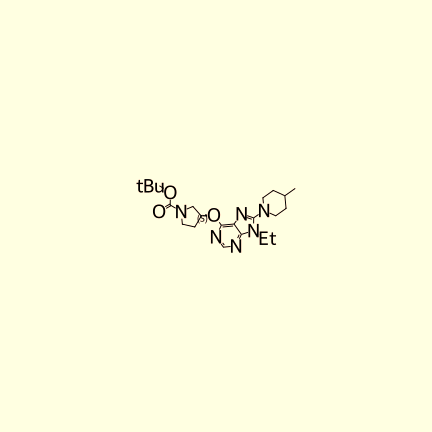 CCn1c(N2CCC(C)CC2)nc2c(O[C@H]3CCN(C(=O)OC(C)(C)C)C3)ncnc21